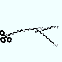 CCCCCCCCN(CCOCCOCCOCCOCCOC(c1ccccc1)(c1ccccc1)c1ccccc1)C(=O)C(COCCCCCCC(=O)O)OCCCCCCC(=O)O